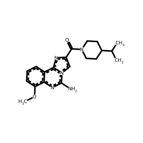 COc1cccc2c1nc(N)n1cc(C(=O)N3CCC(C(C)C)CC3)nc21